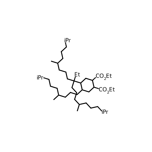 CCOC(=O)C1CC(CCCC(C)CCCC(C)C)C(C(CC)(CCCC(C)CCCC(C)C)CCCC(C)CCCC(C)C)CC1C(=O)OCC